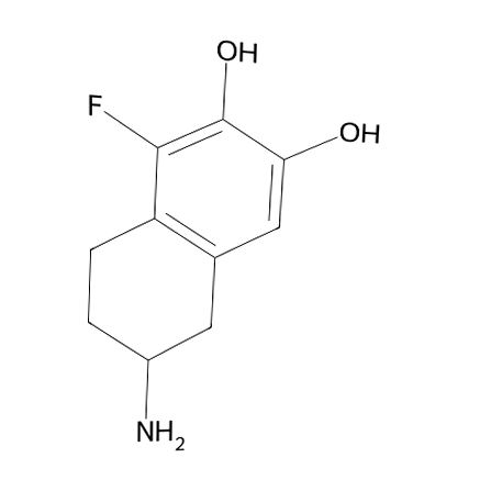 NC1CCc2c(cc(O)c(O)c2F)C1